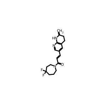 C=C1CCc2cc(/C=C/C(=O)N3CCCC(F)(F)CC3)cnc2N1